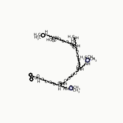 CNCCCCC(NC(=O)CCOCCOCCOCCOCC(=O)C(CCCCNC1=C/C=C(C)\C(C)=C(C)/C=C\1)NC(=O)CCOCCOCCOCCOCCNC(=O)C(CCCCNC1=C/C=C(C)\C(C)=C/C=C\1)NC(=O)CCOCCOCCOCCOCCNC(=O)OCC1c2ccccc2-c2ccccc21)C(=O)NOCCOCCOCCOCCC(=O)NC(CCCCNC1CCC(C)C(C)CC1)C(=O)O